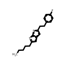 CCCCCc1cc2cc(CCc3ccc(F)cc3)sc2s1